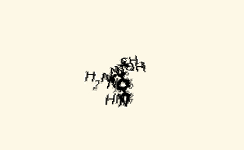 CC(O)Cn1cc2c(n1)c(N)nc1cc(-c3ccn[nH]3)ccc12